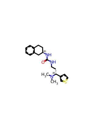 CN(C)[C@H](CCNC(=O)N[C@@H]1CCc2ccccc2C1)c1ccsc1